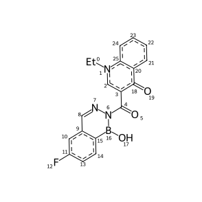 CCn1cc(C(=O)N2N=Cc3cc(F)ccc3B2O)c(=O)c2ccccc21